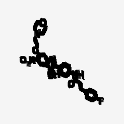 O=C(/C=C/c1ccc(F)cc1)Nc1ccc(-c2nc3cc(OCCN4CCOCC4)c([N+](=O)[O-])cc3n2O)cc1